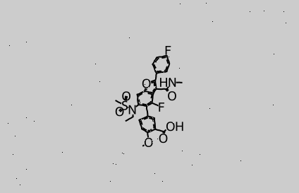 CCN(c1cc2oc(-c3ccc(F)cc3)c(C(=O)NC)c2c(F)c1-c1ccc(OC)c(C(=O)O)c1)S(C)(=O)=O